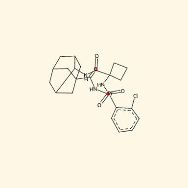 CC(C)NC(=O)C12CC3CC(C1)C(NC(=O)C1(NS(=O)(=O)c4ccccc4Cl)CCC1)C(C3)C2